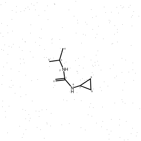 C=C(NC(C)C)NC1CC1